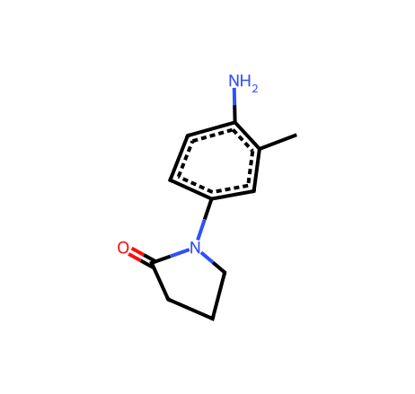 Cc1cc(N2CCCC2=O)ccc1N